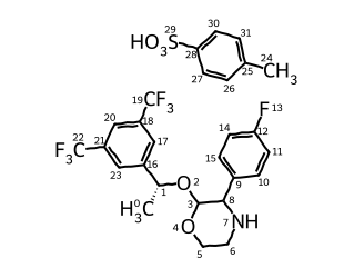 C[C@@H](OC1OCCNC1c1ccc(F)cc1)c1cc(C(F)(F)F)cc(C(F)(F)F)c1.Cc1ccc(S(=O)(=O)O)cc1